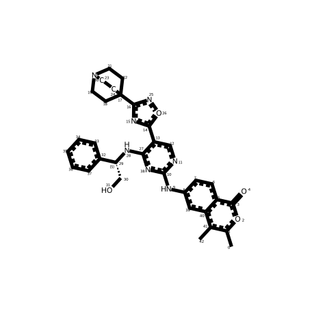 Cc1oc(=O)c2ccc(Nc3ncc(-c4nc(C56CCN(CC5)CC6)no4)c(N[C@H](CO)c4ccccc4)n3)cc2c1C